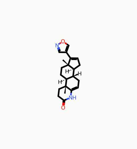 C[C@]12CCC(=O)NC1=CC[C@@H]1[C@@H]2CC[C@]2(C)C(c3cnoc3)=CC[C@@H]12